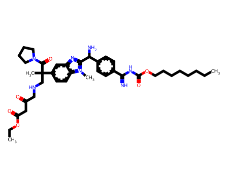 CCCCCCCCOC(=O)NC(=N)c1ccc(C(N)c2nc3cc(C(C)(CNCC(=O)CC(=O)OCC)C(=O)N4CCCC4)ccc3n2C)cc1